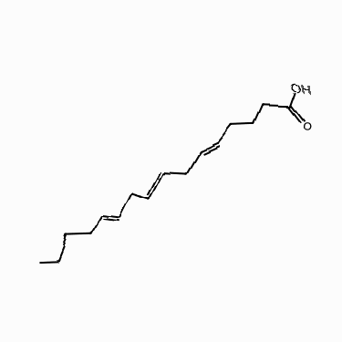 CCCC/C=C/C/C=C/C/C=C/CCCC(=O)O